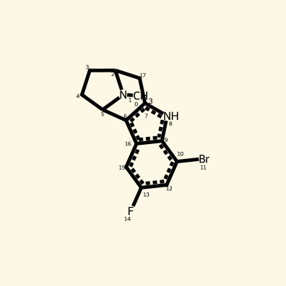 CN1C2CCC1c1c([nH]c3c(Br)cc(F)cc13)C2